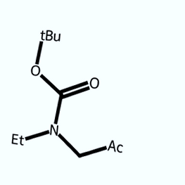 CCN(CC(C)=O)C(=O)OC(C)(C)C